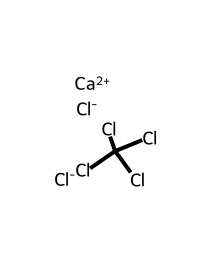 ClC(Cl)(Cl)Cl.[Ca+2].[Cl-].[Cl-]